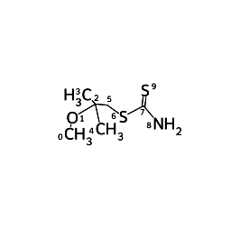 COC(C)(C)CSC(N)=S